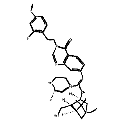 COc1ccc(CCn2cnc3cc(N=C(N[C@H]4C[C@@H]5C[C@@H]([C@H]4CO)C5(C)C)N4CCN[C@@H](C)C4)ccc3c2=O)c(F)c1